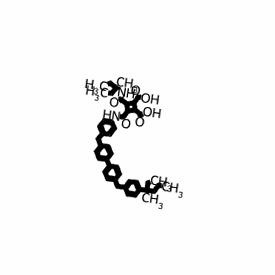 CCCC(C)(CC)c1ccc(Cc2ccc(-c3ccc(Cc4ccc(NC(=O)C5C(C(=O)O)C(C(=O)O)C5C(=O)NC(C)(CC)CC)cc4)cc3)cc2)cc1